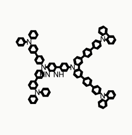 N=C1C(=N)C(N(c2ccc(-c3ccc(N(c4ccccc4)c4ccccc4)cc3)cc2)c2ccc(-c3cccc(N(c4ccccc4)c4ccccc4)c3)cc2)=CC=C1c1ccc(-n2c3ccc(-c4ccc(-c5ccc(-n6c7ccccc7c7ccccc76)cc5)cc4)cc3c3cc(-c4ccc(-c5ccc(-n6c7ccccc7c7ccccc76)cc5)cc4)ccc32)cc1